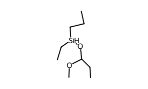 CCC[SiH](CC)OC(CC)OC